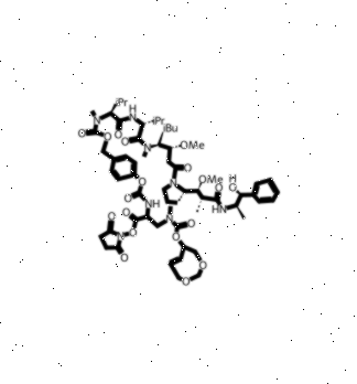 CC[C@H](C)[C@@H]([C@@H](CC(=O)N1CCC[C@H]1[C@H](OC)[C@@H](C)C(=O)N[C@H](C)[C@@H](O)c1ccccc1)OC)N(C)C(=O)[C@H](NC(=O)[C@H](C(C)C)N(C)C(=O)OCc1ccc(OC(=O)NC(CN(C)C(=O)OC2/C=C/COCOC2)C(=O)ON2C(=O)CCC2=O)cc1)C(C)C